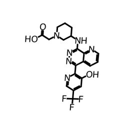 O=C(O)CN1CCCC(Nc2nnc(-c3ncc(C(F)(F)F)cc3O)c3cccnc23)C1